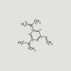 C=Cc1cc(C(=C)C)cc(C(=C)C)c1